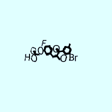 Cc1cc(Br)c2c(c1)C(=O)C(=Cc1ccc(F)c(OCC(=O)O)c1)CO2